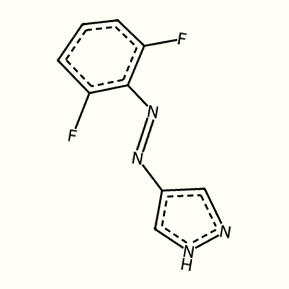 Fc1cccc(F)c1N=Nc1cn[nH]c1